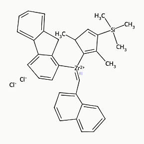 CC1=[C](/[Zr+2](=[CH]/c2cccc3ccccc23)[c]2cccc3c2Cc2ccccc2-3)C(C)C=C1[Si](C)(C)C.[Cl-].[Cl-]